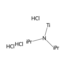 CC(C)[N]([Ti])C(C)C.Cl.Cl.Cl